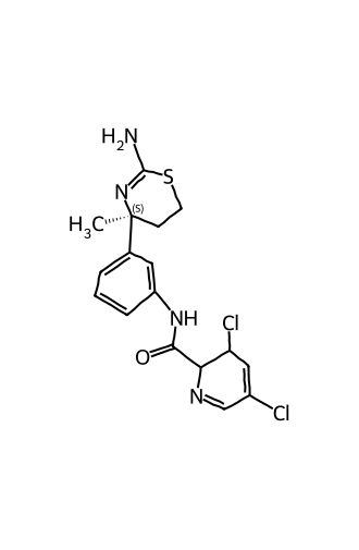 C[C@@]1(c2cccc(NC(=O)C3N=CC(Cl)=CC3Cl)c2)CCSC(N)=N1